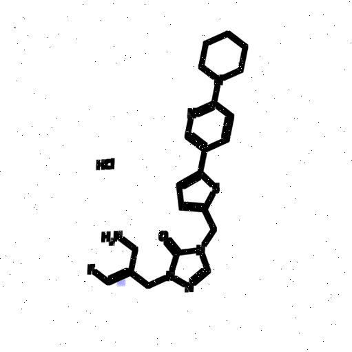 Cl.NC/C(=C\F)Cn1ncn(Cc2ccc(-c3ccc(N4CCCCC4)nc3)s2)c1=O